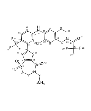 CCN1CCS(=O)(=O)c2cc(-c3nc(Nc4cc5c(cc4Cl)CN(C(=O)C(F)(F)F)CC5)ncc3C(F)(F)F)sc2C1=O